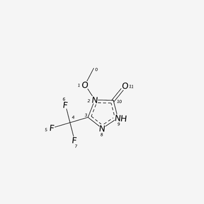 COn1c(C(F)(F)F)n[nH]c1=O